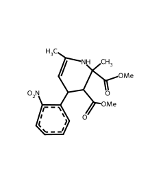 COC(=O)C1C(c2ccccc2[N+](=O)[O-])C=C(C)NC1(C)C(=O)OC